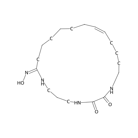 O=C1NCCCC/C=C\CCCCCC/C(=N/O)NCCCNC1=O